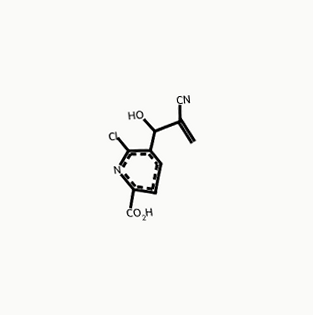 C=C(C#N)C(O)c1ccc(C(=O)O)nc1Cl